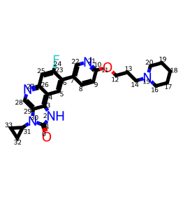 O=c1[nH]c2c3cc(-c4ccc(OCCCN5CCCCC5)nc4)c(F)cc3ncc2n1C1CC1